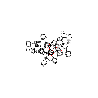 CC(C)c1cccc(C(C)C)c1-n1ccnc1-c1ccc(-c2ccccc2-c2cc(-c3ccccc3-c3ccc(-c4nccn4-c4c(C(C)C)cccc4C(C)C)cc3)cc(-c3cccc(-c4cc(-c5ccccc5-c5ccc(-c6nccn6-c6c(C(C)C)cccc6C(C)C)cc5)cc(-c5ccccc5-c5ccc6cc5C(C)c5cccc(C(C)C)c5-n5ccnc5-6)c4)c3-c3ccc(-n4nc5ccccc5n4)cc3)c2)cc1